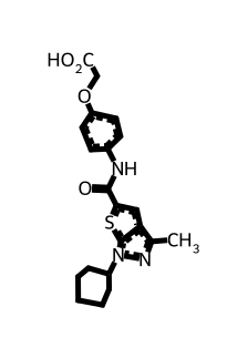 Cc1nn(C2CCCCC2)c2sc(C(=O)Nc3ccc(OCC(=O)O)cc3)cc12